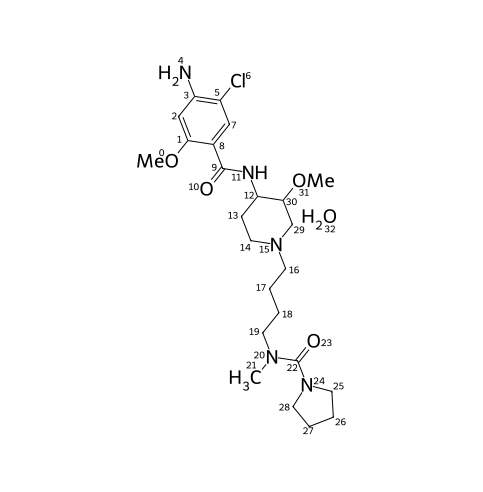 COc1cc(N)c(Cl)cc1C(=O)NC1CCN(CCCCN(C)C(=O)N2CCCC2)CC1OC.O